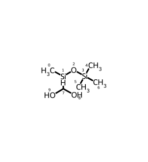 C[SiH](O[Si](C)(C)C)C(O)O